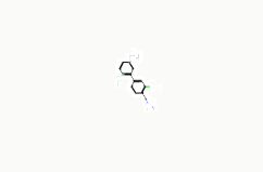 N#Cc1ccc(-c2cc(Br)ccc2F)cc1Cl